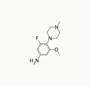 COc1cc(N)cc(F)c1N1CCN(C)CC1